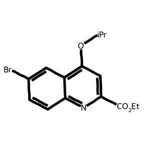 CCOC(=O)c1cc(OC(C)C)c2cc(Br)ccc2n1